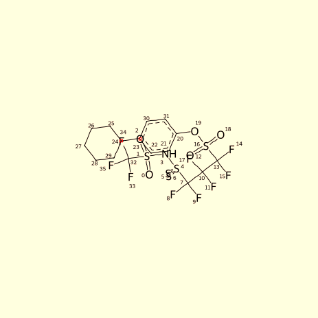 O=S(=O)(NS(=S)(=S)C(F)(F)C(F)(F)C(F)(F)S(=O)(=O)Oc1ccc(C2CCCCC2)cc1)C(F)(F)F